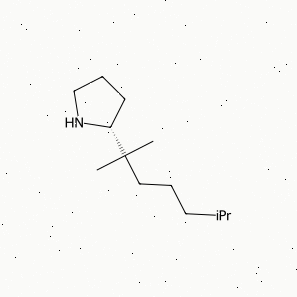 CC(C)CCCC(C)(C)[C@H]1CCCN1